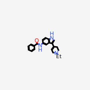 CCN1CC=C(c2c[nH]c3ccc(NC(=O)c4ccccc4)cc23)CC1